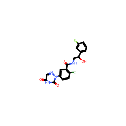 O=C(NCC(O)c1cccc(F)c1)c1cc(-n2ncc(=O)[nH]c2=O)ccc1Cl